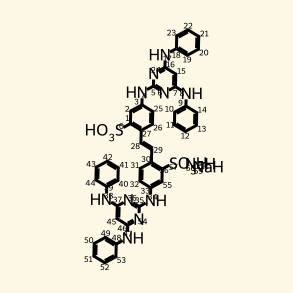 O=S(=O)(O)c1cc(Nc2nc(Nc3ccccc3)cc(Nc3ccccc3)n2)ccc1C=Cc1ccc(Nc2nc(Nc3ccccc3)cc(Nc3ccccc3)n2)cc1S(=O)(=O)O.[NaH].[NaH]